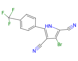 N#Cc1[nH]c(-c2ccc(C(F)(F)F)cc2)c(C#N)c1Br